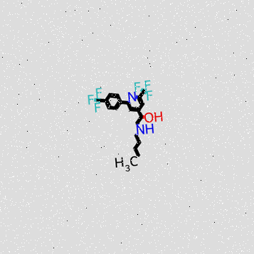 CCCCCNCC(O)c1cc(-c2ccc(C(F)(F)F)cc2)nc(C(F)(F)F)c1